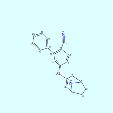 N#Cc1ccc(OC2CC3CCC(C2)N3)cc1-c1ccccc1